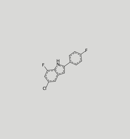 Fc1ccc(-c2cc3cc(Cl)cc(F)c3[nH]2)cc1